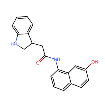 O=C(CC1CNc2ccccc21)Nc1cccc2ccc(O)cc12